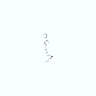 C=C1C[C@@H](CC(=O)O)O[C@H](/C=C/C(C)=C/C[C@@H]2O[C@H](C)[C@H](NC(=O)/C=C\C(C)C)C[C@@H]2C)C1